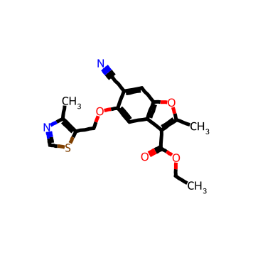 CCOC(=O)c1c(C)oc2cc(C#N)c(OCc3scnc3C)cc12